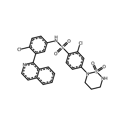 O=S(=O)(Nc1ccc(Cl)c(-c2nccc3ccccc23)c1)c1ccc(N2CCCNS2(=O)=O)cc1Cl